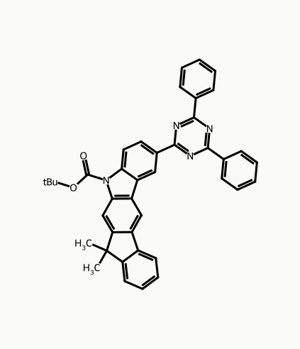 CC(C)(C)OC(=O)n1c2ccc(-c3nc(-c4ccccc4)nc(-c4ccccc4)n3)cc2c2cc3c(cc21)C(C)(C)c1ccccc1-3